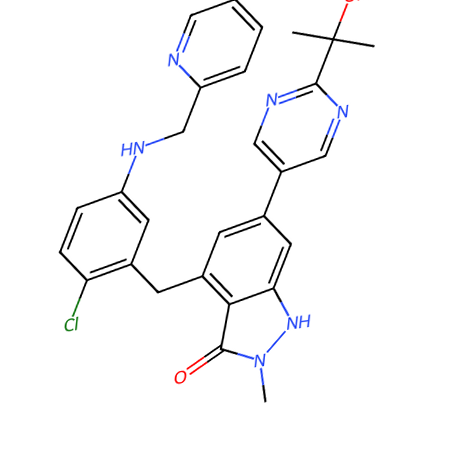 Cn1[nH]c2cc(-c3cnc(C(C)(C)O)nc3)cc(Cc3cc(NCc4ccccn4)ccc3Cl)c2c1=O